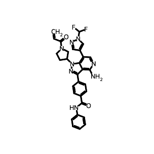 C=CC(=O)N1CCC(n2nc(-c3ccc(C(=O)Nc4ccccc4)cc3)c3c(N)ncc(-c4cnn(C(F)F)c4)c32)C1